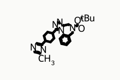 Cc1cncc(C2CCC(c3nnc4n3-c3ccccc3CN(C(=O)OC(C)(C)C)C4)CC2)n1